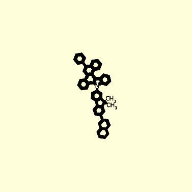 CC1(C)c2cc(C3=CC4=CC=CCC4C=C3)ccc2-c2ccc(-n3c4ccccc4c4c5c6ccccc6c(-c6ccccc6)cc5c5ccccc5c43)cc21